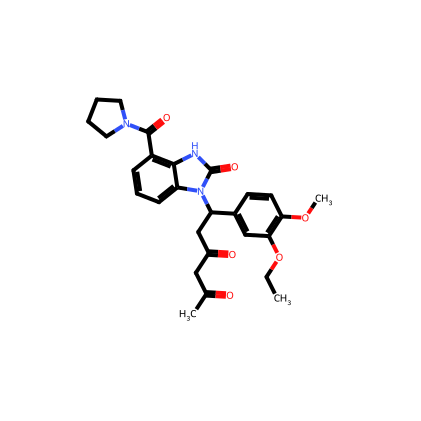 CCOc1cc(C(CC(=O)CC(C)=O)n2c(=O)[nH]c3c(C(=O)N4CCCC4)cccc32)ccc1OC